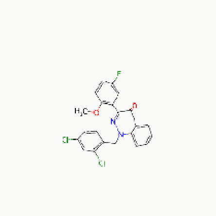 COc1ccc(F)cc1-c1nn(Cc2ccc(Cl)cc2Cl)c2ccccc2c1=O